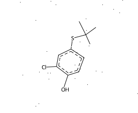 CC(C)(C)Sc1ccc(O)c(Cl)c1